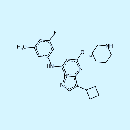 Cc1cc(F)cc(Nc2cc(O[C@H]3CCCNC3)nc3c(C4CCC4)cnn23)c1